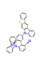 N#Cc1ccc(-n2c3ccccc3c3cc4c(cc32)sc2ccccc24)cc1-c1c(C#N)cccc1-n1c2ccccc2c2ccccc21